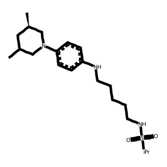 CC1C[C@@H](C)CN(c2ccc(NCCCCCNS(=O)(=O)C(C)C)cc2)C1